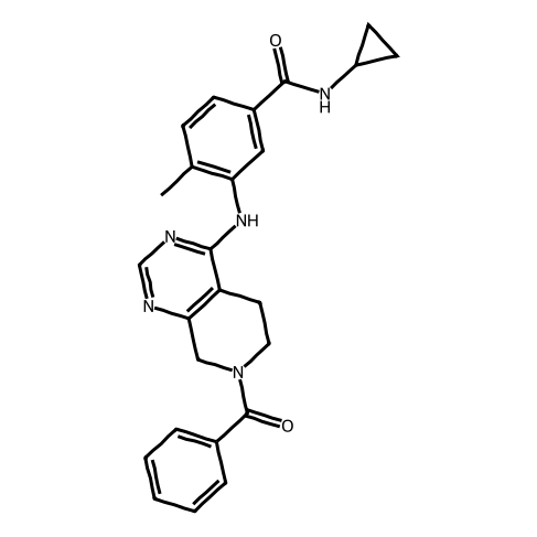 Cc1ccc(C(=O)NC2CC2)cc1Nc1ncnc2c1CCN(C(=O)c1ccccc1)C2